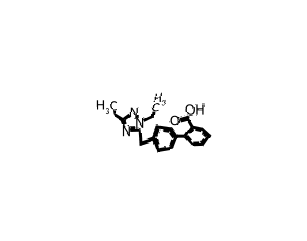 CCc1nc(Cc2ccc(-c3ccccc3C(=O)O)cc2)n(CC)n1